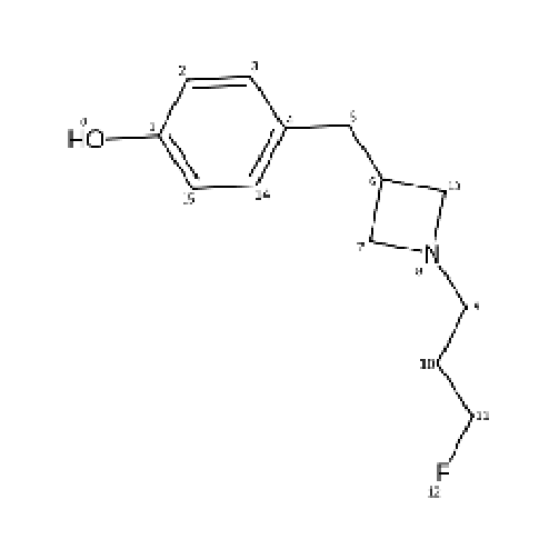 Oc1ccc(CC2CN(CCCF)C2)cc1